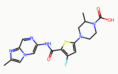 Cc1cn2cc(NC(=O)c3sc(N4CCN(C(=O)O)C(C)C4)cc3F)ncc2n1